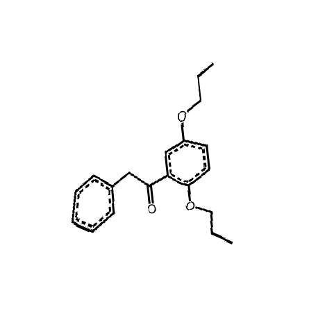 CCCOc1ccc(OCCC)c(C(=O)Cc2ccccc2)c1